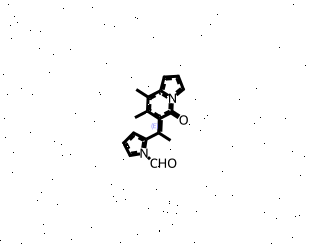 C/C(c1cccn1C=O)=c1/c(C)c(C)c2cccn2c1=O